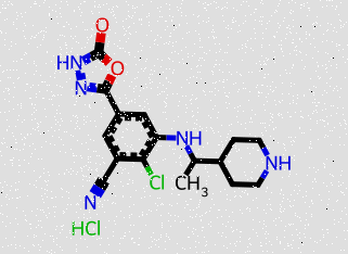 CC(Nc1cc(-c2n[nH]c(=O)o2)cc(C#N)c1Cl)C1CCNCC1.Cl